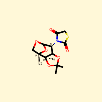 CC[C@@]12COC(O1)[C@H](N1C(=O)CSC1=O)C1OC(C)(C)O[C@H]12